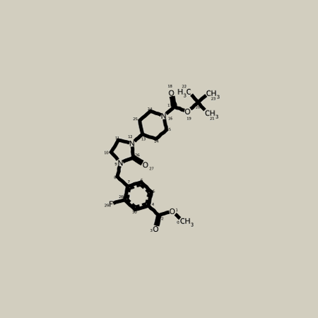 COC(=O)c1ccc(CN2CCN(C3CCN(C(=O)OC(C)(C)C)CC3)C2=O)c(F)c1